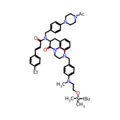 CCc1ccc(C=CC(=O)N(Cc2ccc(N3CCN(C(C)=O)CC3)cc2)C(Cc2ccccc2)C(=O)N2CCN(Cc3ccc(N(C)CCO[Si](C)(C)C(C)(C)C)cc3)CC2)cc1